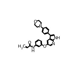 C=CC(=O)Nc1cccc(Oc2cnc3[nH]cc(-c4ccc(N5CCOCC5)cc4)c3c2)c1